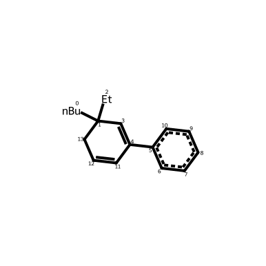 CCCCC1(CC)C=C(c2ccccc2)C=CC1